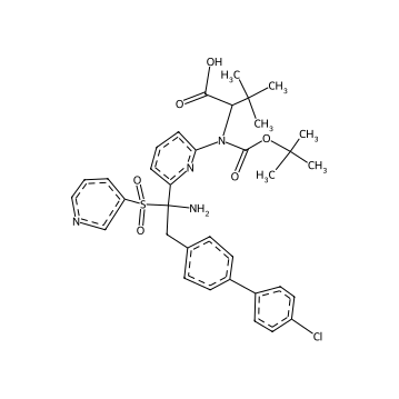 CC(C)(C)OC(=O)N(c1cccc(C(N)(Cc2ccc(-c3ccc(Cl)cc3)cc2)S(=O)(=O)c2cccnc2)n1)C(C(=O)O)C(C)(C)C